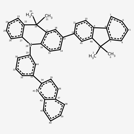 CC1(C)c2ccccc2-c2ccc(-c3ccc4c(c3)C(C)(C)c3ccccc3N4c3cccc(-c4ccc5ccccc5n4)c3)cc21